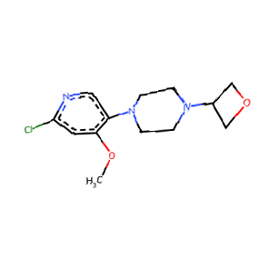 COc1cc(Cl)ncc1N1CCN(C2COC2)CC1